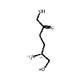 N[C@H](CO)CCC(=O)CO